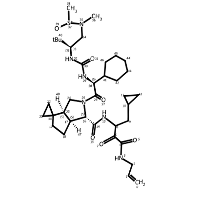 C=CCNC(=O)C(=O)C(CC1CC1)NC(=O)[C@@H]1[C@H]2CCC3(CC3)[C@H]2CN1C(=O)[C@@H](NC(=O)N[C@H](CN(C)[S+](C)[O-])C(C)(C)C)C1CCCCC1